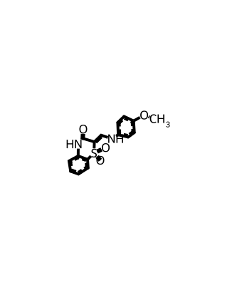 COc1ccc(NC=C2C(=O)Nc3ccccc3S2(=O)=O)cc1